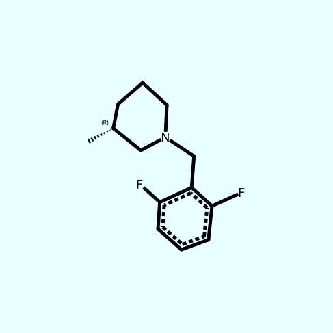 C[C@@H]1CCCN(Cc2c(F)cccc2F)C1